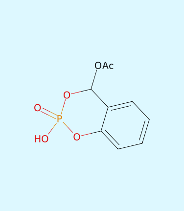 CC(=O)OC1OP(=O)(O)Oc2ccccc21